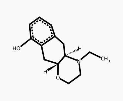 CCN1CCO[C@@H]2Cc3c(O)cccc3C[C@H]21